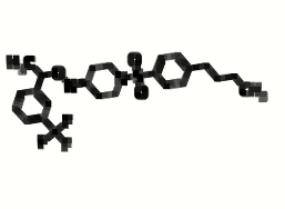 CCCCc1ccc(S(=O)(=O)N2CCC(=NOC(C)c3cccc(C(F)(F)F)c3)CC2)cc1